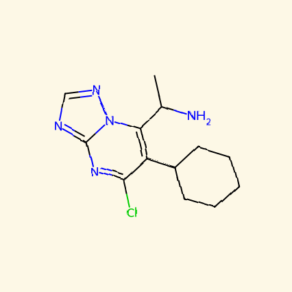 CC(N)c1c(C2CCCCC2)c(Cl)nc2ncnn12